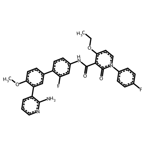 CCOc1ccn(-c2ccc(F)cc2)c(=O)c1C(=O)Nc1ccc(-c2ccc(OC)c(-c3cccnc3N)c2)c(F)c1